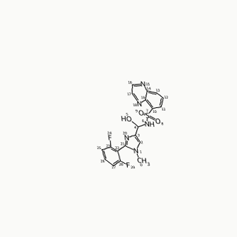 Cn1cc(C(O)NS(=O)(=O)c2cccc3nccnc23)nc1-c1c(F)cccc1F